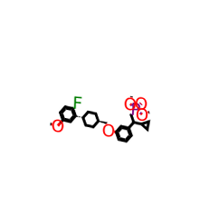 COc1ccc(F)c([C@H]2CC[C@H](COc3cccc(C(CP(=O)(OC)OC)C4CC4)c3)CC2)c1